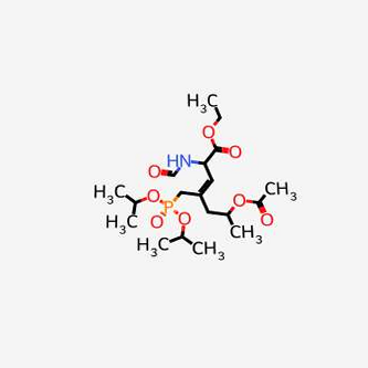 CCOC(=O)C(C=C(CC(C)OC(C)=O)CP(=O)(OC(C)C)OC(C)C)NC=O